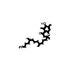 Cc1cc2c(c(C)c1O)C(=O)CC(C)(CCCC(C)CCCC(C)CCCC(C)C)O2